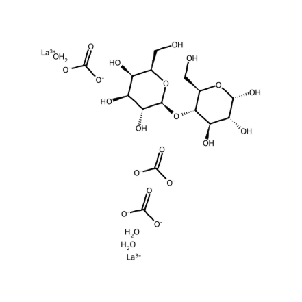 O.O.O.O=C([O-])[O-].O=C([O-])[O-].O=C([O-])[O-].OC[C@H]1O[C@@H](O[C@H]2[C@H](O)[C@@H](O)[C@@H](O)O[C@@H]2CO)[C@H](O)[C@@H](O)[C@H]1O.[La+3].[La+3]